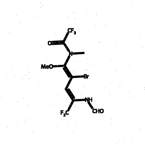 CO/C(=C(Br)\C=C(/NC=O)C(F)(F)F)N(C)C(=O)C(F)(F)F